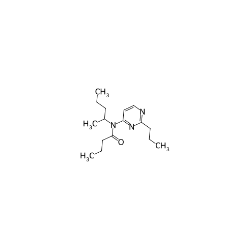 CCCC(=O)N(c1ccnc(CCC)n1)C(C)CCC